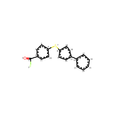 O=C(F)c1ccc(Sc2ccc(-c3ccccc3)cc2)cc1